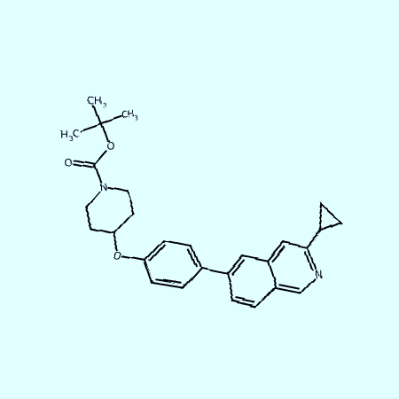 CC(C)(C)OC(=O)N1CCC(Oc2ccc(-c3ccc4cnc(C5CC5)cc4c3)cc2)CC1